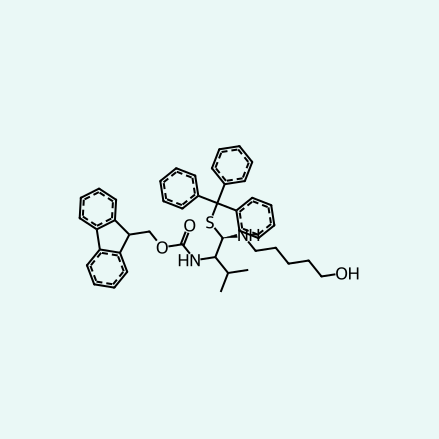 CC(C)C(NC(=O)OCC1c2ccccc2-c2ccccc21)[C@H](NCCCCCO)SC(c1ccccc1)(c1ccccc1)c1ccccc1